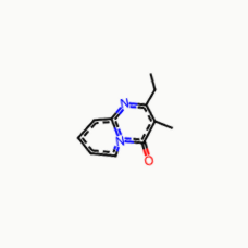 CCc1nc2ccccn2c(=O)c1C